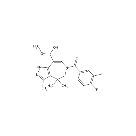 COC(O)C1=CN(C(=O)c2ccc(F)c(F)c2)CC(C)(C)c2c(C)n[nH]c21